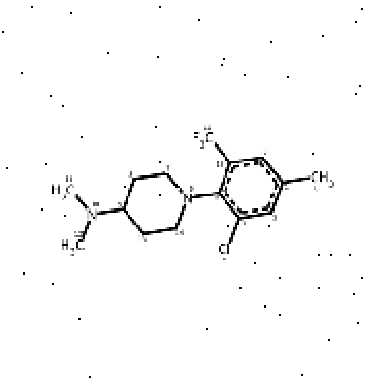 Cc1cc(Cl)c(N2CCC(N(C)C)CC2)c(C(F)(F)F)c1